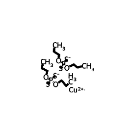 CCCOP(=S)([S-])OCCC.CCCOP(=S)([S-])OCCC.[Cu+2]